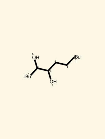 CCC(C)CCC(O)C(O)C(C)CC